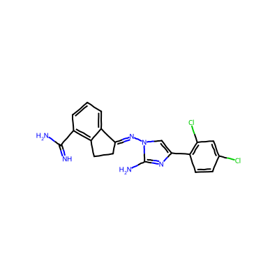 N=C(N)c1cccc2c1CCC2=Nn1cc(-c2ccc(Cl)cc2Cl)nc1N